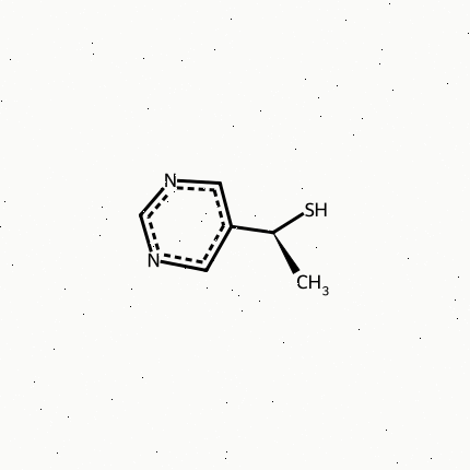 C[C@H](S)c1cncnc1